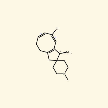 CN1CCC2(CC1)CC1=C(/C=C(Cl)\C=C/CC1)[C@H]2N